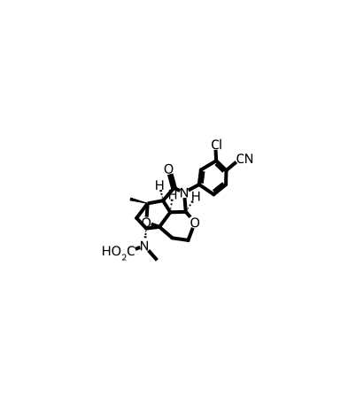 CN(C(=O)O)[C@@H]1C[C@@]2(C)OC13CCO[C@H]1[C@@H]3[C@@H]2C(=O)N1c1ccc(C#N)c(Cl)c1